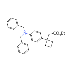 CCOC(=O)CC1(c2ccc(N(Cc3ccccc3)Cc3ccccc3)cc2)CCC1